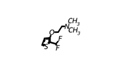 CN(C)CCOc1ccsc1C(F)F